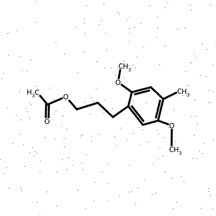 COc1cc(CCCOC(C)=O)c(OC)cc1C